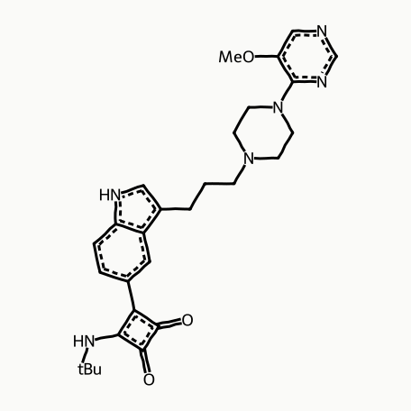 COc1cncnc1N1CCN(CCCc2c[nH]c3ccc(-c4c(NC(C)(C)C)c(=O)c4=O)cc23)CC1